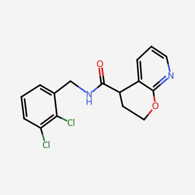 O=C(NCc1cccc(Cl)c1Cl)C1CCOc2ncccc21